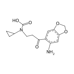 Nc1cc2c(cc1C(=O)CCN(C(=O)O)C1CC1)OCO2